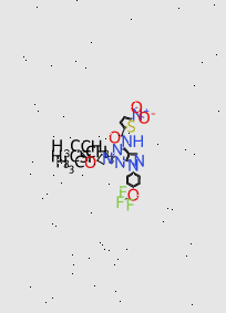 CC(C)(C)[Si](C)(C)OC1CN(c2nc(NC(=O)c3ccc([N+](=O)[O-])s3)c3cnn(-c4ccc(OC(F)(F)F)cc4)c3n2)C1